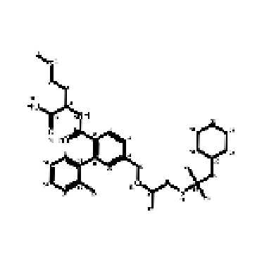 CSCCC(NC(=O)c1ccc(COC(C)CSC(C)(C)CC2CCCCC2)cc1-c1ccccc1C)C(=O)O